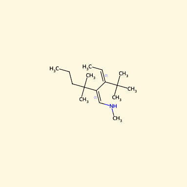 C/C=C(\C(=C/NC)C(C)(C)CCC)C(C)(C)C